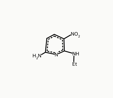 CCNc1nc(N)ccc1[N+](=O)[O-]